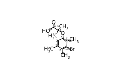 Cc1cc(OC(C)(C)C(=O)O)c(C)c(Br)c1C